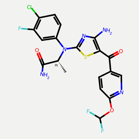 C[C@H](C(N)=O)N(c1ccc(Cl)c(F)c1)c1nc(N)c(C(=O)c2ccc(OC(F)F)nc2)s1